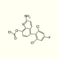 CCC(=O)Oc1ccc(-c2c(Cl)cc(F)cc2Cl)c2ccc(N)nc12